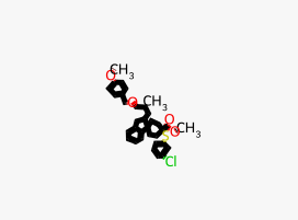 COC(=O)C1(Sc2cccc(Cl)c2)CCC2(CC1)c1ccccc1CC2C[C@@H](C)COCc1ccc(OC)cc1